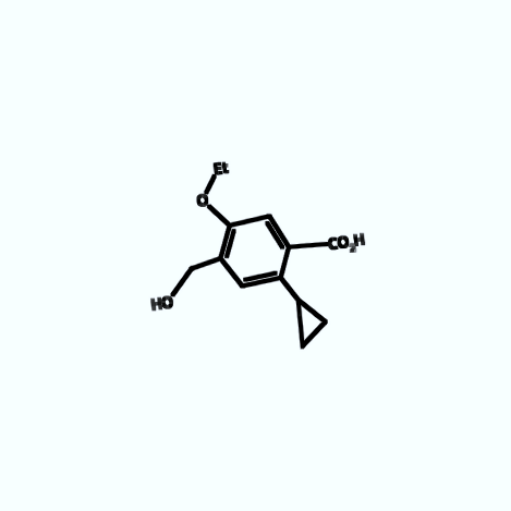 CCOc1cc(C(=O)O)c(C2CC2)cc1CO